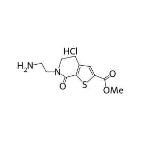 COC(=O)c1cc2c(s1)C(=O)N(CCN)CC2.Cl